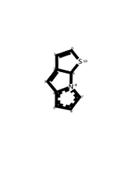 C1=CC2=Cc3cccn3C2S1